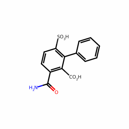 NC(=O)c1ccc(S(=O)(=O)O)c(-c2ccccc2)c1C(=O)O